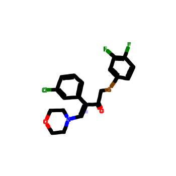 O=C(CSc1ccc(F)c(F)c1)/C(=C/N1CCOCC1)c1cccc(Cl)c1